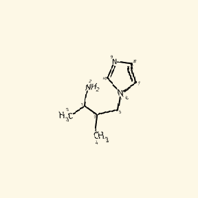 CC(N)C(C)Cn1ccnc1